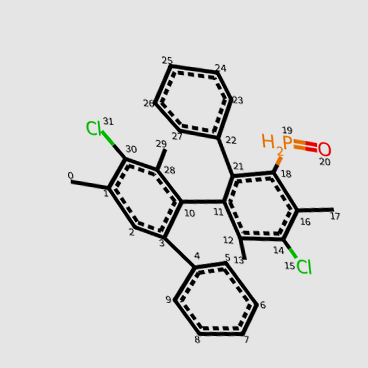 Cc1cc(-c2ccccc2)c(-c2c(C)c(Cl)c(C)c([PH2]=O)c2-c2ccccc2)c(C)c1Cl